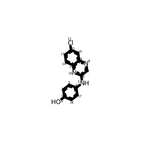 Oc1ccc(Nc2cnc3cc(Cl)ccc3n2)cc1